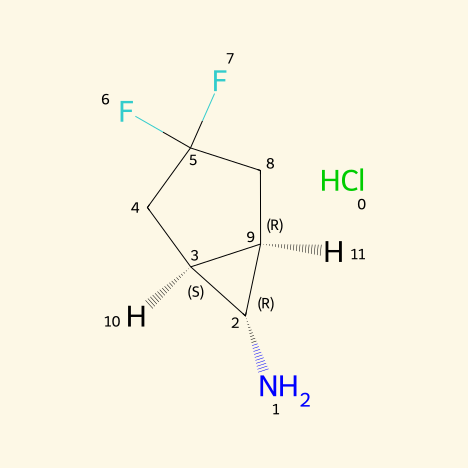 Cl.N[C@@H]1[C@H]2CC(F)(F)C[C@@H]12